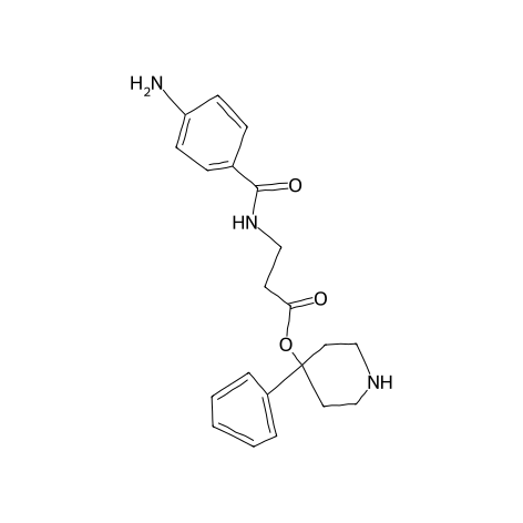 Nc1ccc(C(=O)NCCC(=O)OC2(c3ccccc3)CCNCC2)cc1